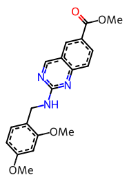 COC(=O)c1ccc2nc(NCc3ccc(OC)cc3OC)ncc2c1